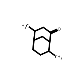 CC1CC(=O)C2CC1CCC2C